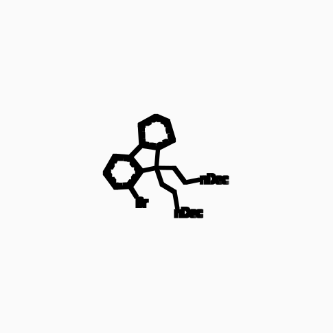 CCCCCCCCCCCCC1(CCCCCCCCCCCC)c2ccccc2-c2cccc(Br)c21